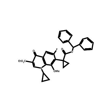 CCOC(=O)c1cn(C2CC2)c2c(OC)c(C3(C(=O)OC(c4ccccc4)c4ccccc4)CC3)c(F)cc2c1=O